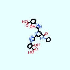 O=C(NC1CCCC1)c1cc(-c2cn(-c3cccc(C(=O)O)c3O)nn2)nc(-c2cn(-c3cccc(C(=O)O)c3O)nn2)c1